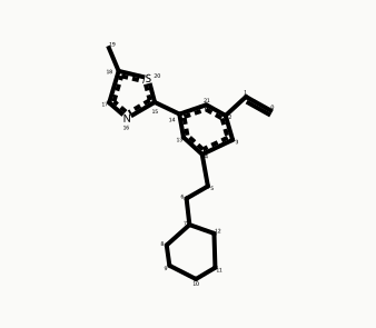 C=Cc1cc(CCC2CCCCC2)cc(-c2ncc(C)s2)c1